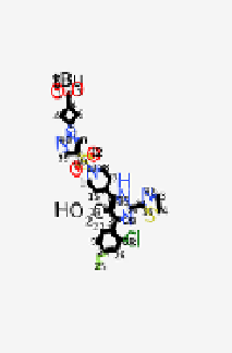 CC(C)(C)OC(=O)C1CC(n2cc(S(=O)(=O)N3CCC(C4=C(C(=O)O)C(c5ccc(F)cc5Cl)N=C(c5nccs5)N4)CC3)cn2)C1